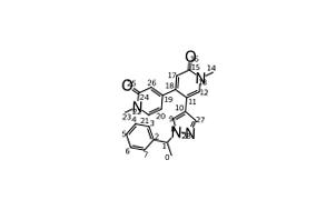 CC(c1ccccc1)n1cc(-c2cn(C)c(=O)cc2-c2ccn(C)c(=O)c2)cn1